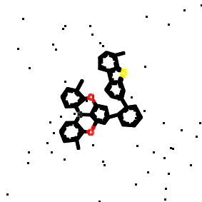 Cc1cccc2c1Oc1cc(-c3ccccc3-c3ccc4c(c3)sc3c(C)cccc34)cc3c1B2c1cccc(C)c1O3